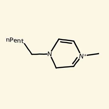 CCCCCCN1C=C[N+](C)=CC1